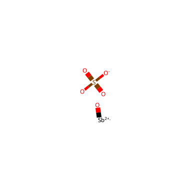 O=S(=O)([O-])[O-].[O]=[Sb+2]